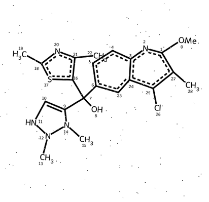 COc1nc2ccc(C(O)(C3=CNN(C)N3C)c3sc(C)nc3C)cc2c(Cl)c1C